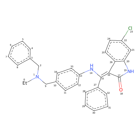 CCN(Cc1ccccc1)Cc1ccc(NC(=C2C(=O)Nc3cc(Cl)ccc32)c2ccccc2)cc1